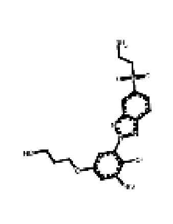 CC(C)(C)c1cc(OCCCO)cc(-n2nc3ccc(S(=O)(=O)CCN)cc3n2)c1O